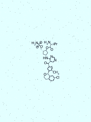 Cc1sc(C(=O)c2cncnc2N[C@@H]2C[C@H](COS(N)(=O)=O)[C@@H](OC(=O)C(N)C(C)C)C2)cc1[C@@H]1OCCc2ccc(Cl)cc21